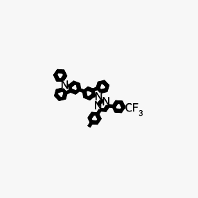 Cc1ccc(-c2cc(-c3ccc(C(F)(F)F)cc3)nc(-n3c4ccccc4c4cc(-c5ccc6c(c5)c5ccccc5n6-c5ccccc5)ccc43)n2)cc1